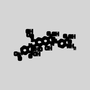 Nc1ccc(/N=N/c2c(S(=O)(=O)O)cc3cc(SOOO)c(/N=N/c4ccc([N+](=O)[O-])cc4S(=O)(=O)O)c(O)c3c2O)cc1S(=O)(=O)O